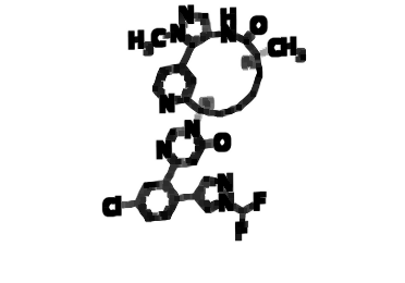 C[C@@H]1CCCC[C@H](n2cnc(-c3cc(Cl)ccc3-c3cnn(C(F)F)c3)cc2=O)c2cc(ccn2)-c2c(cnn2C)NC1=O